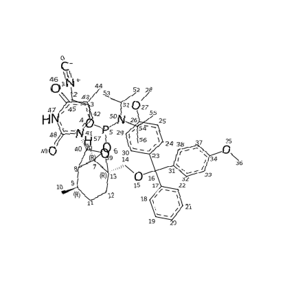 [C-]#[N+]CCOP(O[C@@H]1C2[C@H](C)CC[C@]1(COC(c1ccccc1)(c1ccc(OC)cc1)c1ccc(OC)cc1)O[C@H]2n1cc(C)c(=O)[nH]c1=O)N(C(C)C)C(C)C